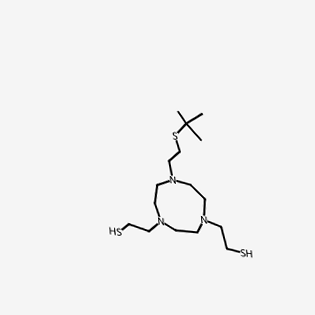 CC(C)(C)SCCN1CCN(CCS)CCN(CCS)CC1